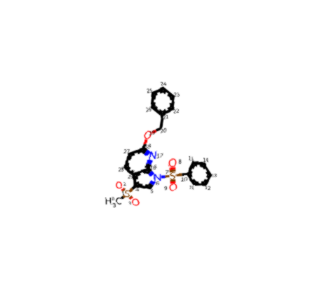 CS(=O)(=O)c1cn(S(=O)(=O)c2ccccc2)c2nc(OCc3ccccc3)ccc12